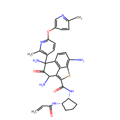 C=CC(=O)N[C@H]1CCC[C@H]1NC(=O)c1sc2c(N)ccc3c2c1C(N)C(=O)C3(N)c1ccc(Oc2ccc(C)nc2)nc1C